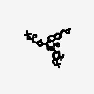 COCc1ccc2c(c1)CCN(C(=O)[C@H]1C[C@H](CC(=O)OC(C)(C)C)C1)[C@H]2C(=O)Nc1cc(F)c2c(c1)CCC2(C)C